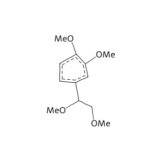 COCC(OC)c1ccc(OC)c(OC)c1